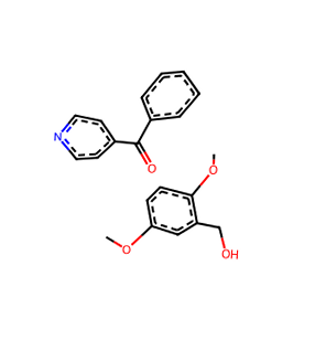 COc1ccc(OC)c(CO)c1.O=C(c1ccccc1)c1ccncc1